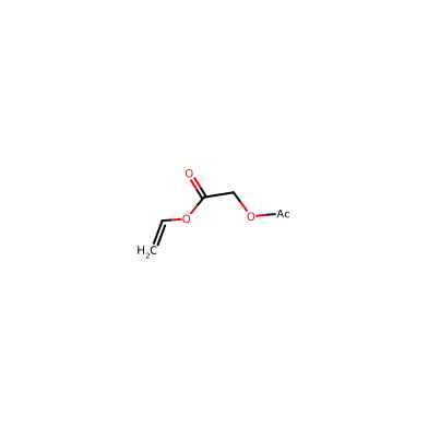 C=COC(=O)COC(C)=O